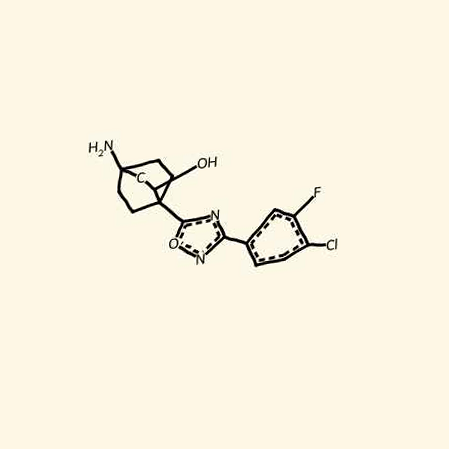 NC12CCC(c3nc(-c4ccc(Cl)c(F)c4)no3)(CC1)C(O)C2